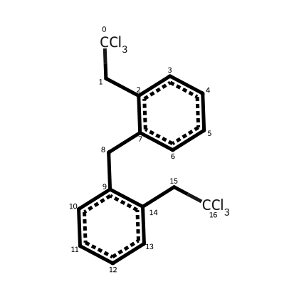 ClC(Cl)(Cl)Cc1ccccc1Cc1ccccc1CC(Cl)(Cl)Cl